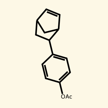 CC(=O)Oc1ccc(C2CC3C=CC2C3)cc1